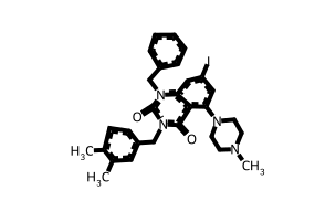 Cc1ccc(Cn2c(=O)c3c(N4CCN(C)CC4)cc(I)cc3n(Cc3ccccc3)c2=O)cc1C